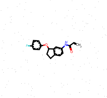 C=CC(=O)Nc1ccc2c(c1)C(Oc1ccc(F)cc1)CC2